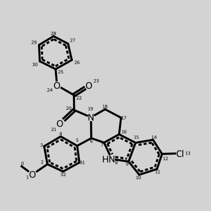 COc1ccc(C2c3[nH]c4ccc(Cl)cc4c3CCN2C(=O)C(=O)Oc2ccccc2)cc1